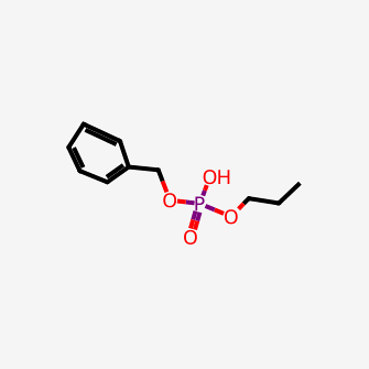 CCCOP(=O)(O)OCc1ccccc1